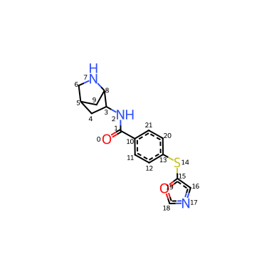 O=C(NC1CC2CNC1C2)c1ccc(Sc2cnco2)cc1